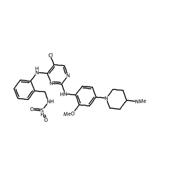 CNC1CCN(c2ccc(Nc3ncc(Cl)c(Nc4ccccc4CN[SH](=O)=O)n3)c(OC)c2)CC1